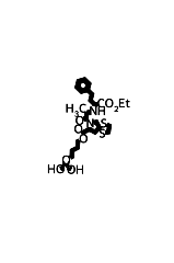 CCOC(=O)C(CCc1ccccc1)NC(C)C(=O)N1CC2(CC1C(=O)OCCCCON(O)O)SCCS2